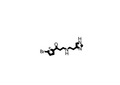 O=C(CCNCCc1c[nH]cn1)c1ccc(Br)s1